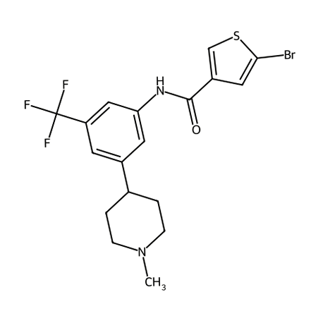 CN1CCC(c2cc(NC(=O)c3csc(Br)c3)cc(C(F)(F)F)c2)CC1